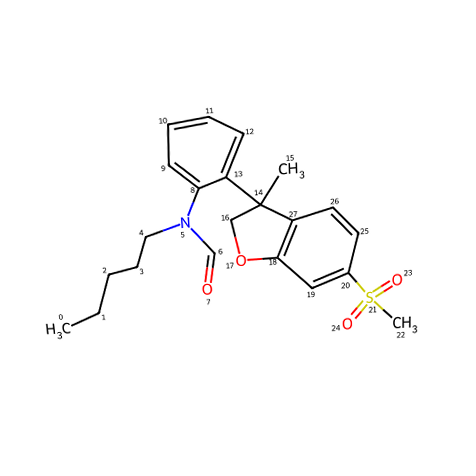 CCCCCN(C=O)c1ccccc1C1(C)COc2cc(S(C)(=O)=O)ccc21